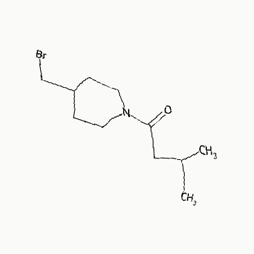 CC(C)CC(=O)N1CCC(CBr)CC1